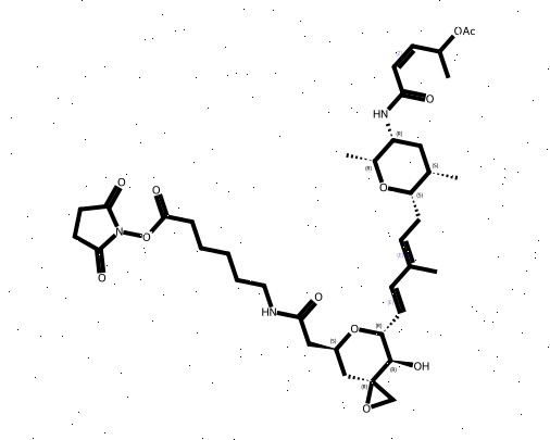 CC(=O)OC(C)/C=C\C(=O)N[C@@H]1C[C@H](C)[C@H](C/C=C(C)/C=C/[C@H]2O[C@H](CC(=O)NCCCCCC(=O)ON3C(=O)CCC3=O)C[C@@]3(CO3)[C@@H]2O)O[C@@H]1C